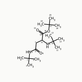 CC(C)(C)NC(=O)CC(NC(C)(C)C)C(=O)OC(C)(C)C